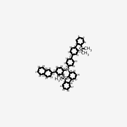 C[Si]1(C)c2ccccc2-c2ccc(-c3ccc(N(c4ccc(-c5ccc6ccccc6c5)cc4)c4cccc5c4[Si](C)(C)c4ccccc4-5)cc3)cc21